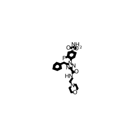 NS(=O)(=O)c1ccc(-n2nc(C(=O)NCCN3CCOCC3)nc2Cc2ccccc2)c(F)c1